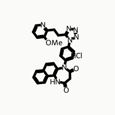 COc1cccnc1CCc1nnnn1-c1ccc(N2C(=O)CC(=O)Nc3c2ccc2ccccc32)cc1.Cl